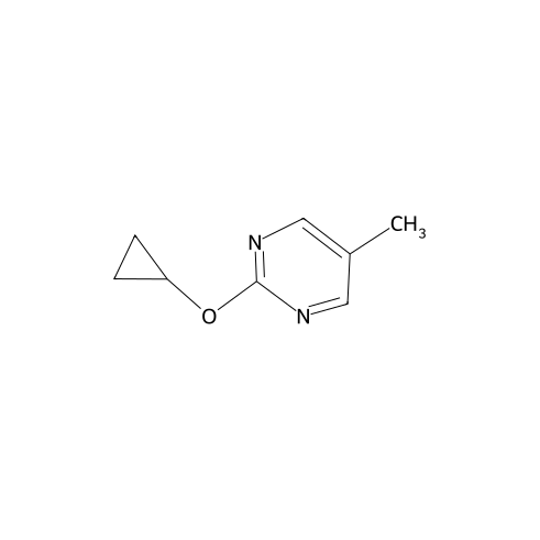 Cc1cnc(OC2CC2)nc1